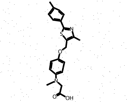 Cc1ccc(-c2nc(C)c(COc3ccc(N(C)CC(=O)O)cc3)s2)cc1